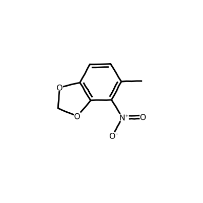 Cc1ccc2c(c1[N+](=O)[O-])OCO2